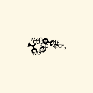 COc1ccc(-c2cnc(C(F)(F)C(F)(F)F)nc2)c(ON2CCN(Oc3cc(C(CC(=O)O)C4CC4)ccn3)CC2)c1